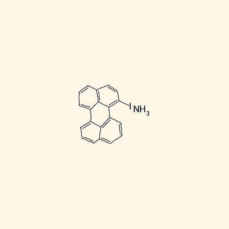 Ic1ccc2cccc3c4cccc5cccc(c1c23)c54.N